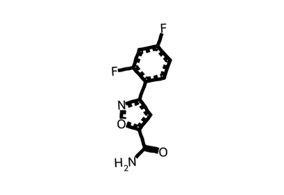 NC(=O)c1cc(-c2ccc(F)cc2F)no1